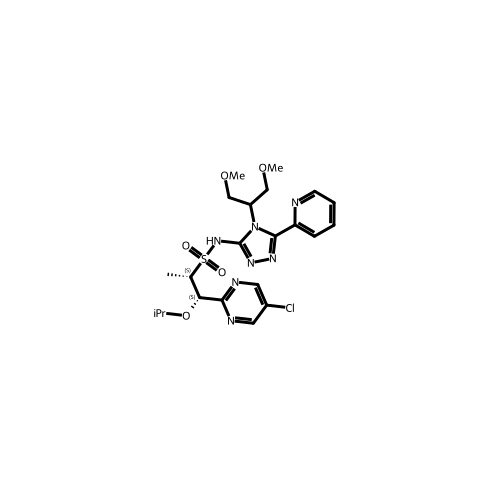 COCC(COC)n1c(NS(=O)(=O)[C@@H](C)[C@@H](OC(C)C)c2ncc(Cl)cn2)nnc1-c1ccccn1